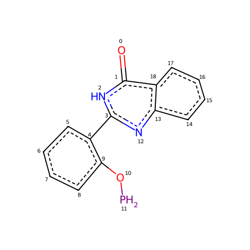 O=c1[nH]c(-c2ccccc2OP)nc2ccccc12